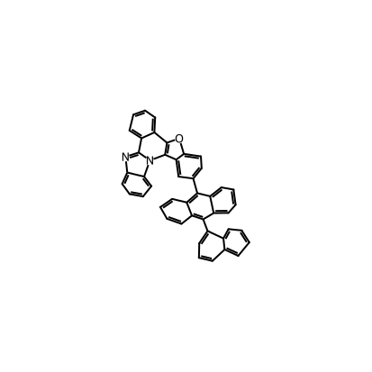 c1ccc2c(-c3c4ccccc4c(-c4ccc5oc6c7ccccc7c7nc8ccccc8n7c6c5c4)c4ccccc34)cccc2c1